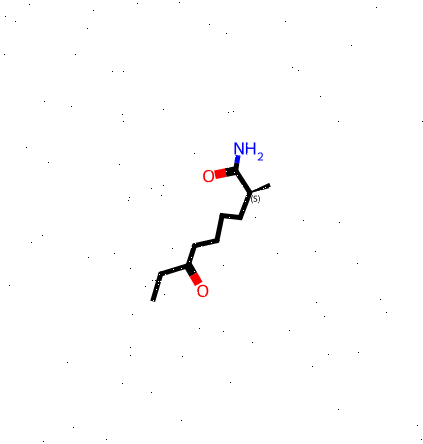 CCC(=O)CCCC[C@H](C)C(N)=O